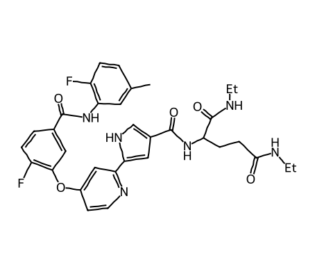 CCNC(=O)CCC(NC(=O)c1c[nH]c(-c2cc(Oc3cc(C(=O)Nc4cc(C)ccc4F)ccc3F)ccn2)c1)C(=O)NCC